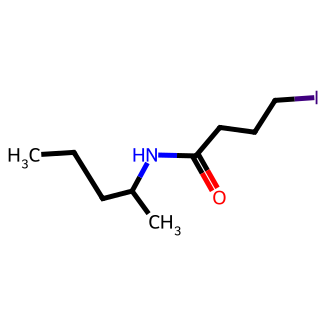 CCCC(C)NC(=O)CCCI